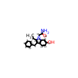 CCc1c(Cc2ccccc2)c2ccc(O)cc2n1CC(N)=O